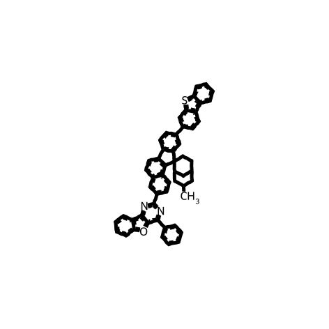 CC1CC2CCC3(c4cc(-c5ccc6c(c5)sc5ccccc56)ccc4-c4ccc5cc(-c6nc(-c7ccccc7)c7oc8ccccc8c7n6)ccc5c43)C(C1)C2